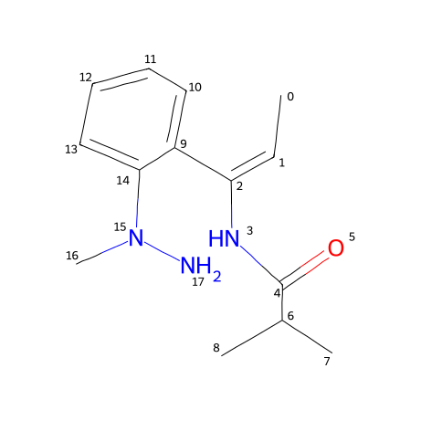 C/C=C(/NC(=O)C(C)C)c1ccccc1N(C)N